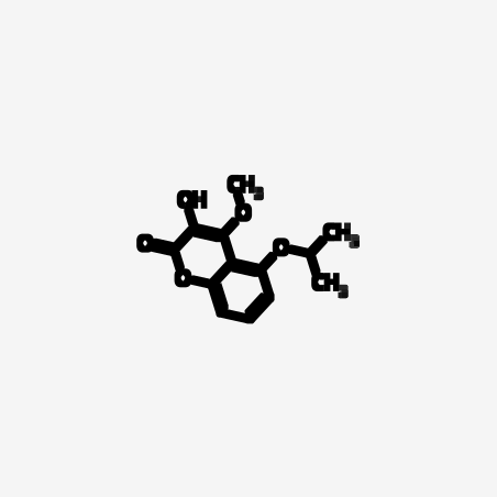 COc1c(O)c(=O)oc2cccc(OC(C)C)c12